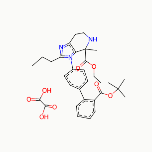 CCCc1nc2c(n1-c1ccc(-c3ccccc3C(=O)OC(C)(C)C)cc1)C(C)(C(=O)OCC)NCC2.O=C(O)C(=O)O